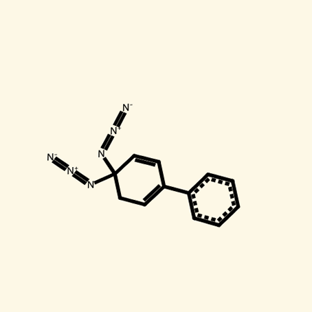 [N-]=[N+]=NC1(N=[N+]=[N-])C=CC(c2ccccc2)=CC1